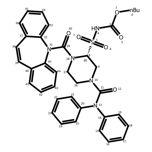 CCCCOC(=O)NS(=O)(=O)[C@@H]1CN(C(=O)N(c2ccccc2)c2ccccc2)CCN1C(=O)N1c2ccccc2C=Cc2ccccc21